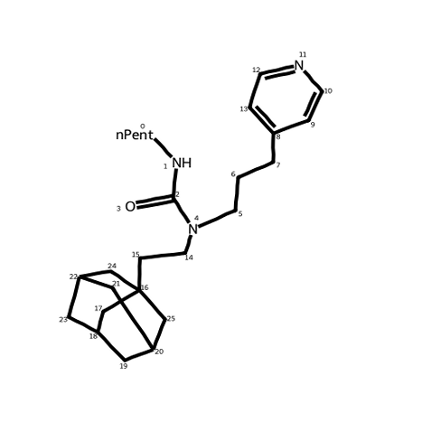 CCCCCNC(=O)N(CCCc1ccncc1)CCC12CC3CC(CC(C3)C1)C2